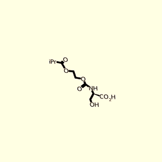 CC(C)C(=O)OCCOC(=O)N[C@H](CO)C(=O)O